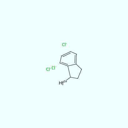 [Cl-].[Cl-].[Cl-].[Hf+3][CH]1CCc2ccccc21